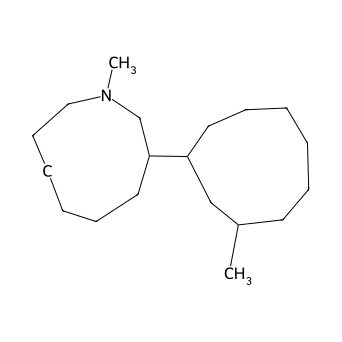 CC1CCCCCCC(C2CCCCCCN(C)C2)C1